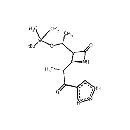 C[C@@H](O[Si](C)(C)C(C)(C)C)[C@H]1C(=O)N[C@H]1[C@@H](C)C(=O)c1c[nH]nn1